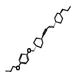 CCCOc1ccc(OC[C@H]2CC[C@H](C#CC=C[C@H]3CC[C@H](CCC)CC3)CC2)cc1